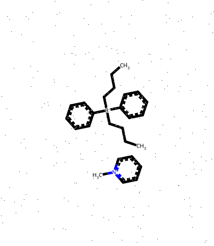 CCCC[B-](CCCC)(c1ccccc1)c1ccccc1.C[n+]1ccccc1